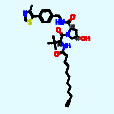 C#CCCCCCCCCCC(=O)N[C@H](C(=O)N1C[C@H](O)C[C@H]1C(=O)NCc1ccc(-c2scnc2C)cc1)C(C)(C)C